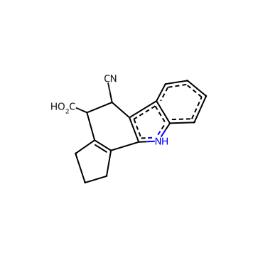 N#CC1c2c([nH]c3ccccc23)C2=C(CCC2)C1C(=O)O